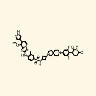 CCOc1c(-c2cn[nH]c2)ccn2nc(Nc3ccc(S(=O)(=O)NC4CC(N5CCC6(CCN(c7cc(F)c(C8CCC(=O)NC8=O)c(F)c7)CC6)C5)C4)cc3C)nc12